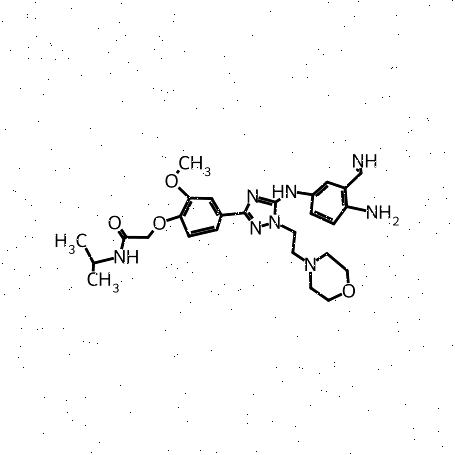 COc1cc(-c2nc(Nc3ccc(N)c(C=N)c3)n(CCN3CCOCC3)n2)ccc1OCC(=O)NC(C)C